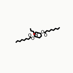 CCCCCCCC(=O)OC1CCC2C(OC(=O)CCCCCCC)CCC1N2CCCC